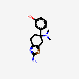 CN(C)C1(c2cccc(O)c2)CCc2nc(N)sc2C1